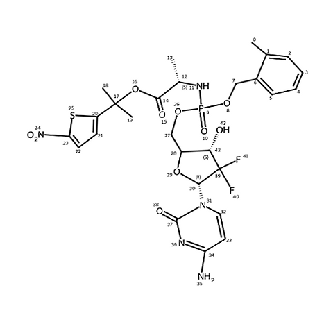 Cc1ccccc1COP(=O)(N[C@@H](C)C(=O)OC(C)(C)c1ccc([N+](=O)[O-])s1)OCC1O[C@@H](n2ccc(N)nc2=O)C(F)(F)[C@H]1O